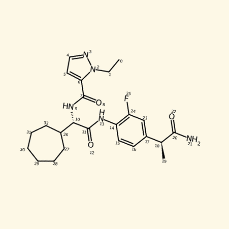 CCn1nccc1C(=O)N[C@H](C(=O)Nc1ccc([C@H](C)C(N)=O)cc1F)C1CCCCCC1